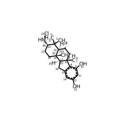 CC1(C)[C@H]2CC[C@]3(C)c4c(O)cc(O)cc4C[C@H]3[C@]2(C)CC[C@H]1NCl